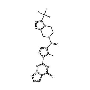 Cc1c(C(=O)N2CCn3c(nnc3C(F)(F)F)C2)cnn1-c1nn2cccc2c(=O)[nH]1